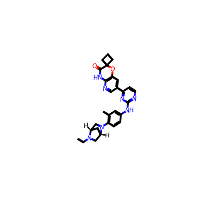 CCN1C[C@@H]2C[C@H]1CN2c1ccc(Nc2nccc(-c3cnc4c(c3)OC3(CCC3)C(=O)N4)n2)cc1C